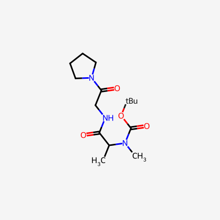 CC(C(=O)NCC(=O)N1CCCC1)N(C)C(=O)OC(C)(C)C